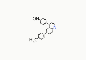 Cc1ccc(-c2ccc3nccc(-c4ccc(N=O)cc4)c3c2)cc1